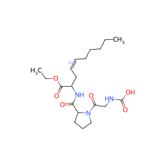 CCCCC/C=C\CC(NC(=O)C1CCCN1C(=O)CNC(=O)O)C(=O)OCC